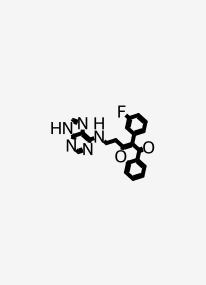 O=c1c(-c2cccc(F)c2)c(CCNc2ncnc3[nH]cnc23)oc2ccccc12